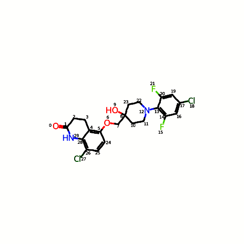 O=C1CCc2c(OCC3(O)CCN(c4c(F)cc(Cl)cc4F)CC3)ccc(Cl)c2N1